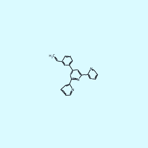 C=Cc1cccc(-c2cc(-c3ccccn3)nc(-c3ccccn3)c2)c1